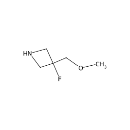 COCC1(F)CNC1